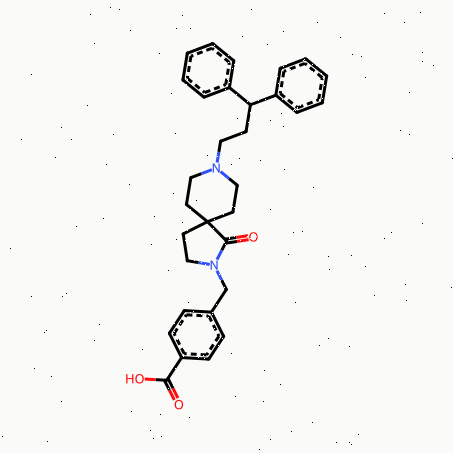 O=C(O)c1ccc(CN2CCC3(CCN(CCC(c4ccccc4)c4ccccc4)CC3)C2=O)cc1